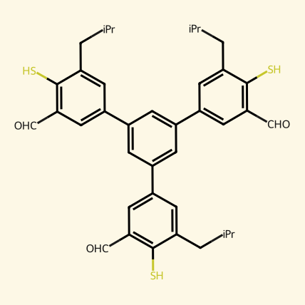 CC(C)Cc1cc(-c2cc(-c3cc(C=O)c(S)c(CC(C)C)c3)cc(-c3cc(C=O)c(S)c(CC(C)C)c3)c2)cc(C=O)c1S